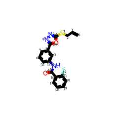 C=CCSc1nnc(-c2cccc(NC(=O)c3ccccc3F)c2)o1